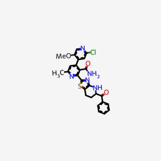 COc1cnc(Cl)cc1-c1cc(C)nc(-c2nc3c(s2)CCC(C(=O)c2ccccc2)N3)c1C(N)=O